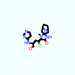 CN1/C(=C(Cl)\C=C(/C=O)Nc2ccncn2)C(=O)NC12CC1CCC(C2)N1